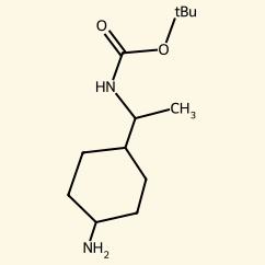 CC(NC(=O)OC(C)(C)C)C1CCC(N)CC1